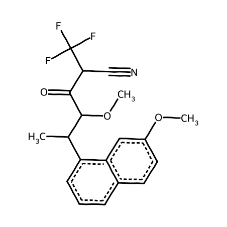 COc1ccc2cccc(C(C)C(OC)C(=O)C(C#N)C(F)(F)F)c2c1